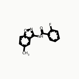 Cc1ccc2onc(NC(=O)c3ccccc3F)c2c1